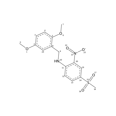 COc1ccc(OC)c(CNc2ccc(S(C)(=O)=O)cc2[N+](=O)[O-])c1